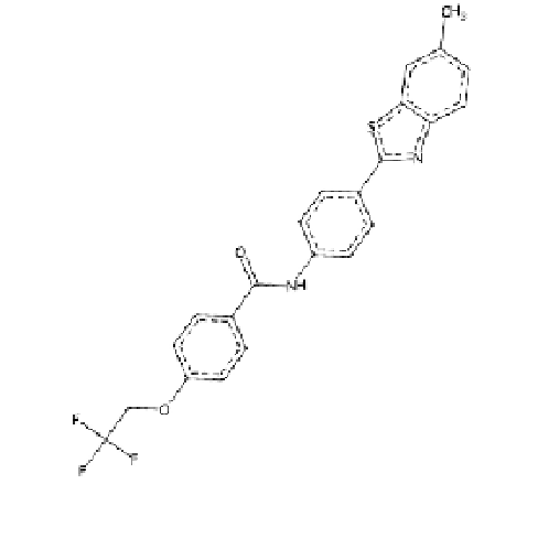 Cc1ccc2nc(-c3ccc(NC(=O)c4ccc(OCC(F)(F)F)cc4)cc3)sc2c1